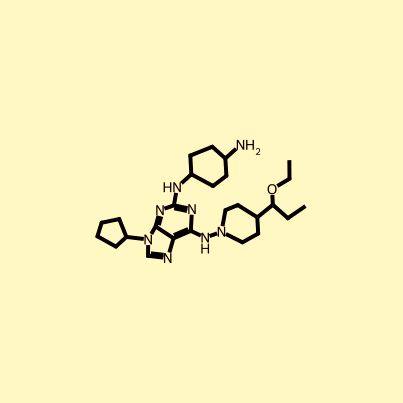 CCOC(CC)C1CCN(Nc2nc(NC3CCC(N)CC3)nc3c2ncn3C2CCCC2)CC1